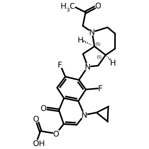 CC(=O)CN1CCC[C@H]2CN(c3c(F)cc4c(=O)c(OC(=O)O)cn(C5CC5)c4c3F)C[C@H]21